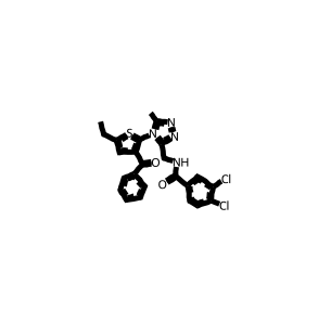 CCc1cc(C(=O)c2ccccc2)c(-n2c(C)nnc2CNC(=O)c2ccc(Cl)c(Cl)c2)s1